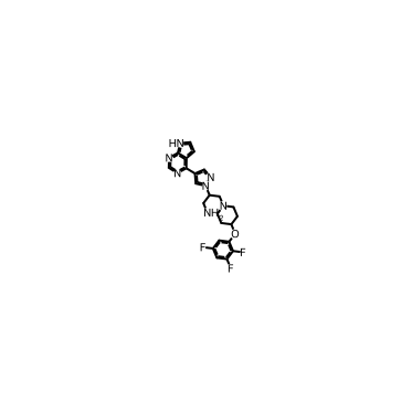 NCC(CN1CCC(Oc2cc(F)cc(F)c2F)CC1)n1cc(-c2ncnc3[nH]ccc23)cn1